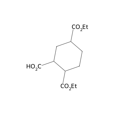 CCOC(=O)C1CCC(C(=O)OCC)C(C(=O)O)C1